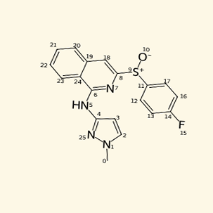 Cn1ccc(Nc2nc([S+]([O-])c3ccc(F)cc3)cc3ccccc23)n1